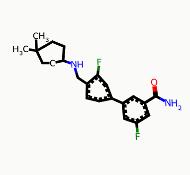 CC1(C)CCC(NCc2ccc(-c3cc(F)cc(C(N)=O)c3)cc2F)CC1